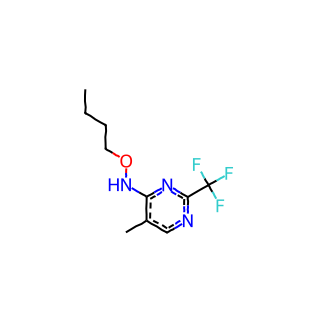 CCCCONc1nc(C(F)(F)F)ncc1C